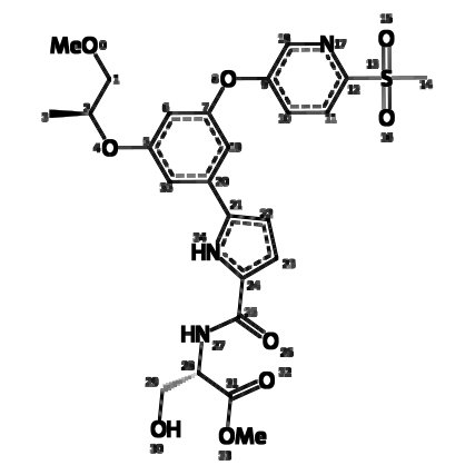 COC[C@H](C)Oc1cc(Oc2ccc(S(C)(=O)=O)nc2)cc(-c2ccc(C(=O)N[C@@H](CO)C(=O)OC)[nH]2)c1